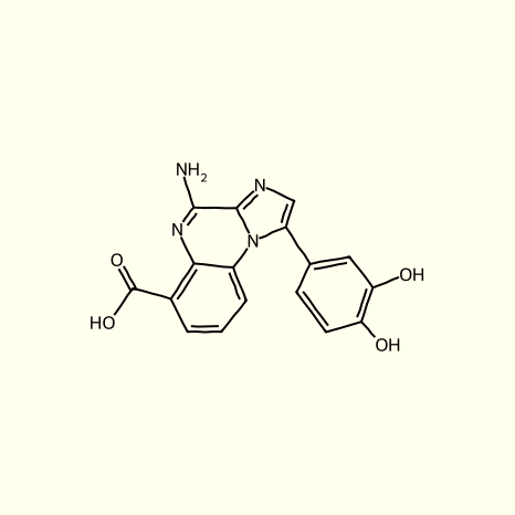 Nc1nc2c(C(=O)O)cccc2n2c(-c3ccc(O)c(O)c3)cnc12